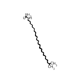 CC(C)CCCCCCCCCCCCCCCCCCCCCCCNC(N)=O